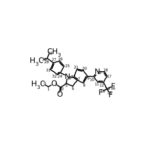 CCOC(=O)C1Cc2cc(-c3cc(C(F)(F)F)ccn3)ccc2N1c1ccc(C(C)C)cc1